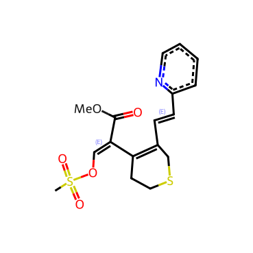 COC(=O)/C(=C/OS(C)(=O)=O)C1=C(/C=C/c2ccccn2)CSCC1